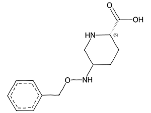 O=C(O)[C@@H]1CCC(NOCc2ccccc2)CN1